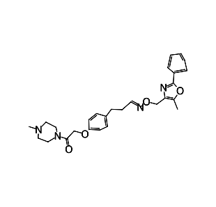 Cc1oc(-c2ccccc2)nc1CON=CCCc1ccc(OCC(=O)N2CCN(C)CC2)cc1